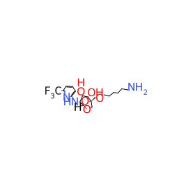 NCCCCCCOC[C@@]12CO[C@@H](O1)[C@H](Nc1cccc(C(F)(F)F)n1)[C@@H](O)[C@H]2O